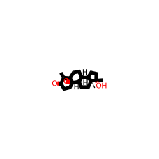 CC1=C2CC[C@@H]3[C@@H](CC[C@@]4(C)[C@H]3CCC4(C)O)[C@@]2(C=O)CCC1=O